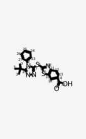 CC(C)(C)c1nnc(Sc2nc3ccc(C(=O)O)cc3s2)n1-c1ccccc1